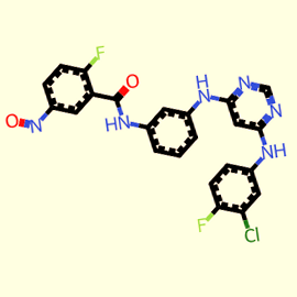 O=Nc1ccc(F)c(C(=O)Nc2cccc(Nc3cc(Nc4ccc(F)c(Cl)c4)ncn3)c2)c1